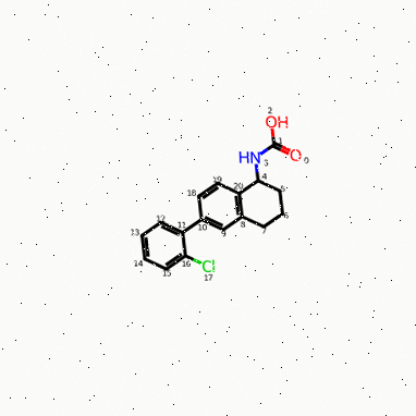 O=C(O)NC1CCCc2cc(-c3ccccc3Cl)ccc21